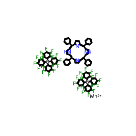 C1=Cc2nc1c(-c1ccccc1)c1ccc([nH]1)c(-c1ccccc1)c1nc(c(-c3ccccc3)c3ccc([nH]3)c2-c2ccccc2)C=C1.Fc1c(F)c(F)c([B-](c2c(F)c(F)c(F)c(F)c2F)(c2c(F)c(F)c(F)c(F)c2F)c2c(F)c(F)c(F)c(F)c2F)c(F)c1F.Fc1c(F)c(F)c([B-](c2c(F)c(F)c(F)c(F)c2F)(c2c(F)c(F)c(F)c(F)c2F)c2c(F)c(F)c(F)c(F)c2F)c(F)c1F.[Mn+2]